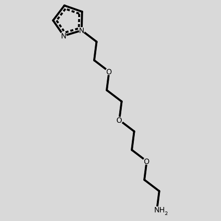 NCCOCCOCCOCCn1cccn1